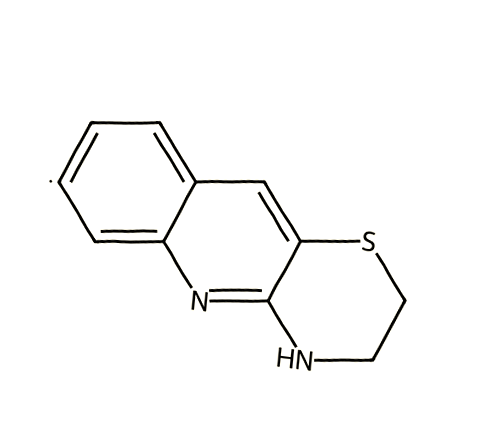 [c]1ccc2cc3c(nc2c1)NCCS3